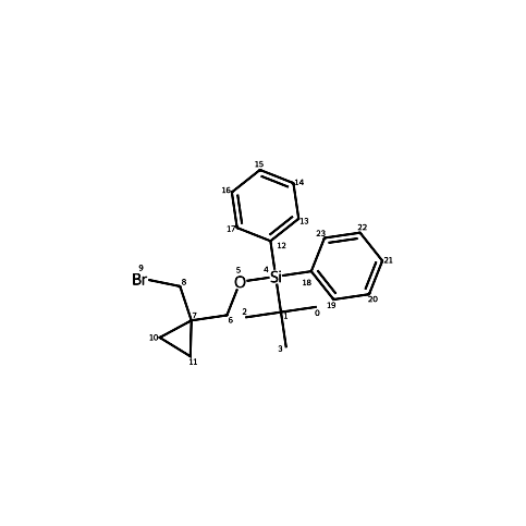 CC(C)(C)[Si](OCC1(CBr)CC1)(c1ccccc1)c1ccccc1